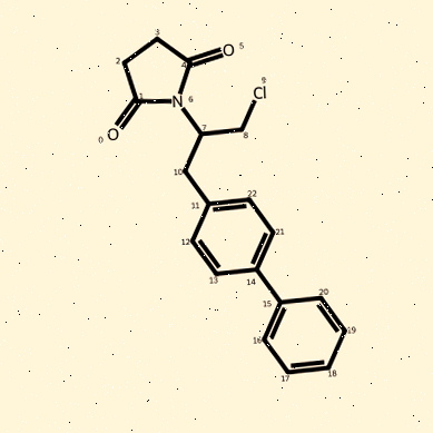 O=C1CCC(=O)N1C(CCl)Cc1ccc(-c2ccccc2)cc1